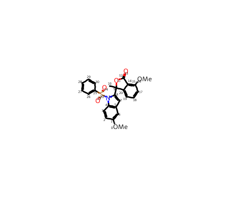 COc1ccc2c(c1)cc(C1(C)OC(=O)c3c(OC)cccc31)n2S(=O)(=O)c1ccccc1